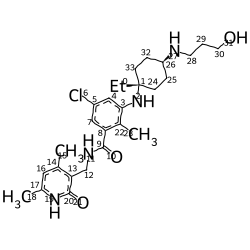 CC[C@]1(Nc2cc(Cl)cc(C(=O)NCc3c(C)cc(C)[nH]c3=O)c2C)CC[C@H](NCCCO)CC1